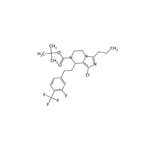 CCCc1nc(Cl)c2n1CCN(C(=O)OC(C)(C)C)C2CCc1ccc(C(F)(F)F)c(F)c1